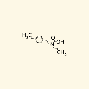 C=CCN(CCc1ccc(CC)cc1)C(=O)O